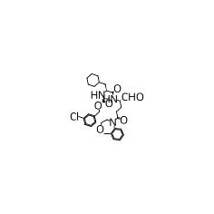 O=C[C@H](CCC(=O)N1CCOCc2ccccc21)NC(=O)[C@H](CC1CCCCC1)NC(=O)OCc1cccc(Cl)c1